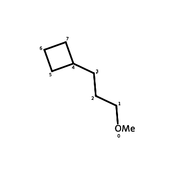 COCC[CH]C1CCC1